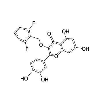 O=c1c(OCc2c(F)cccc2F)c(-c2ccc(O)c(O)c2)oc2cc(O)cc(O)c12